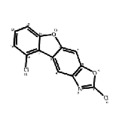 Clc1nc2cc3c(cc2o1)oc1cccc(Cl)c13